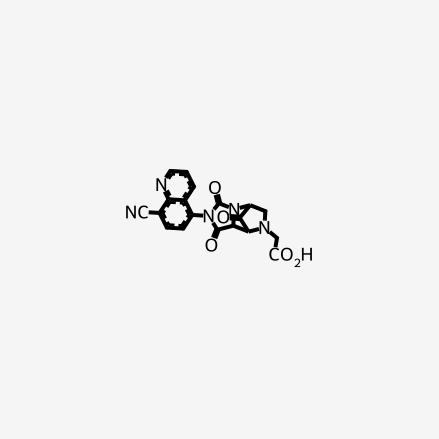 N#Cc1ccc(N2C(=O)C3C4C(=O)C(CN4CC(=O)O)N3C2=O)c2cccnc12